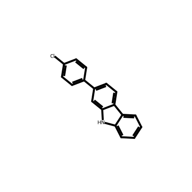 Clc1ccc(-c2ccc3c(c2)[nH]c2ccccc23)cc1